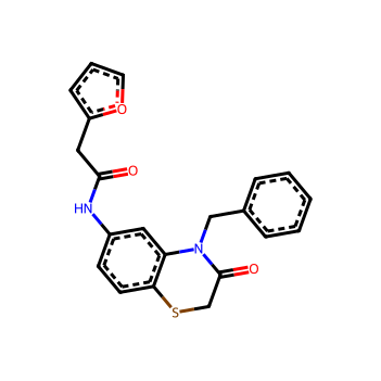 O=C(Cc1ccco1)Nc1ccc2c(c1)N(Cc1ccccc1)C(=O)CS2